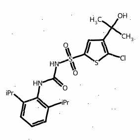 CC(C)c1cccc(C(C)C)c1NC(=O)NS(=O)(=O)c1cc(C(C)(C)O)c(Cl)s1